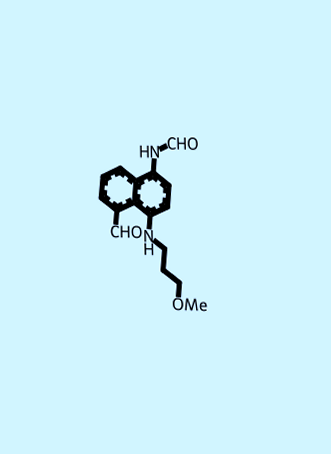 COCCCNc1ccc(NC=O)c2cccc(C=O)c12